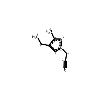 CCc1cn(CC#N)nc1N